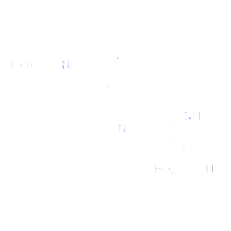 CC(C)Oc1ccc(-c2ncc(-c3cccc4c3CC[C@@H]4NCCO)s2)cc1N